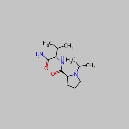 CC(C)[C@H](NC(=O)[C@@H]1CCCN1C(C)C)C(N)=O